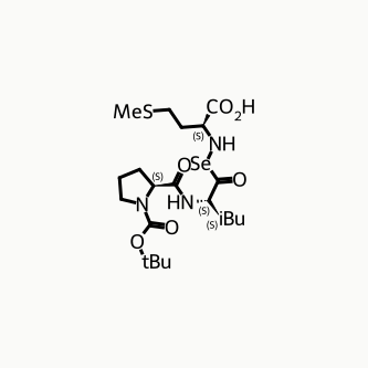 CC[C@H](C)[C@H](NC(=O)[C@@H]1CCCN1C(=O)OC(C)(C)C)C(=O)[Se]N[C@@H](CCSC)C(=O)O